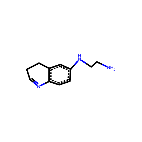 NCCNc1ccc2c(c1)CCC=N2